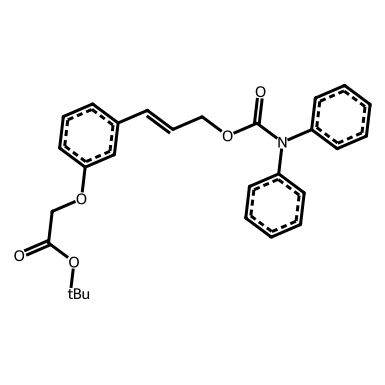 CC(C)(C)OC(=O)COc1cccc(C=CCOC(=O)N(c2ccccc2)c2ccccc2)c1